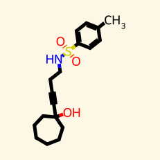 Cc1ccc(S(=O)(=O)NCCC#CC2(O)CCCCCC2)cc1